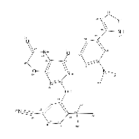 CN(C)c1cc(Oc2nc(Oc3cc(C#N)ccc3C(C)(C)C)nc3c2NC(=O)CO3)cc(C2=NCCN2)c1